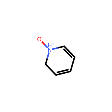 [O-][NH+]1C=CC=CC1